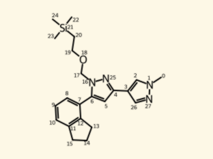 Cn1cc(-c2cc(-c3cccc4c3CCC4)n(COCC[Si](C)(C)C)n2)cn1